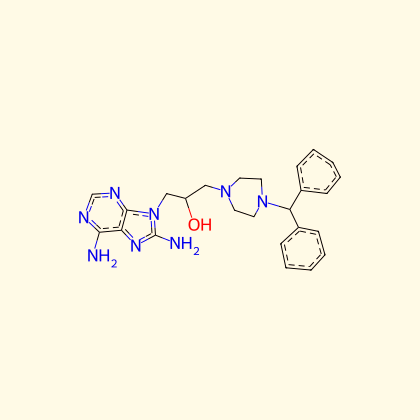 Nc1ncnc2c1nc(N)n2CC(O)CN1CCN(C(c2ccccc2)c2ccccc2)CC1